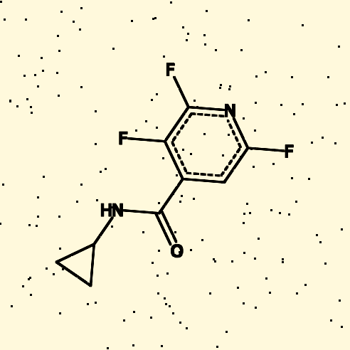 O=C(NC1CC1)c1cc(F)nc(F)c1F